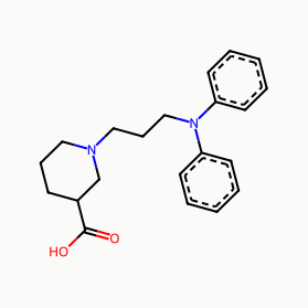 O=C(O)C1CCCN(CCCN(c2ccccc2)c2ccccc2)C1